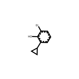 CCc1cccc(C2CC2)c1O